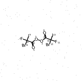 O=C(OOC(=O)C(F)(Br)I)C(F)(Br)I